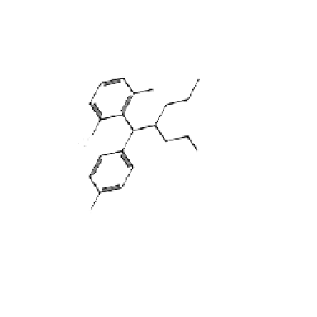 CCCC(CCC)C(c1ccc(F)cc1)c1c(F)cccc1P